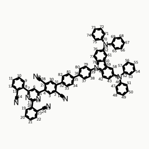 N#Cc1cc(-c2cc(-c3ccccc3C#N)nc(-c3ccccc3C#N)n2)c(C#N)cc1-c1ccc(-c2ccc(-n3c4ccc(N(c5ccccc5)c5ccccc5)cc4c4cc(N(c5ccccc5)c5ccccc5)ccc43)cc2)cc1